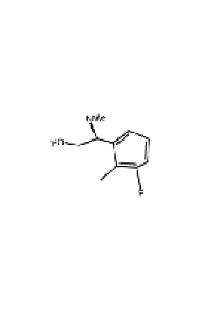 CN[C@H](CO)c1cccc(F)c1C